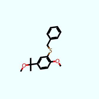 COc1ccc(C(C)(C)OC)cc1SCc1ccccc1